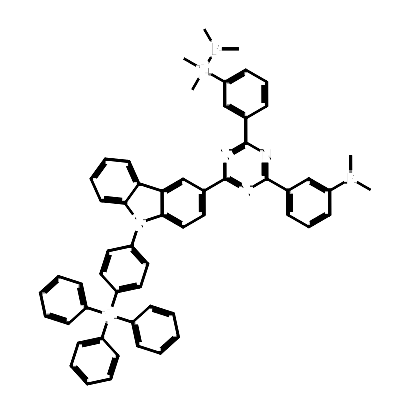 CB(C)c1cccc(-c2nc(-c3cccc([Si](C)(C)B(C)C)c3)nc(-c3ccc4c(c3)c3ccccc3n4-c3ccc([Si](c4ccccc4)(c4ccccc4)c4ccccc4)cc3)n2)c1